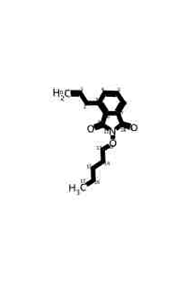 C=CCc1cccc2c1C(=O)N(OCCCCC)C2=O